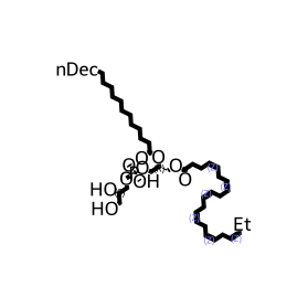 CC/C=C\C/C=C\C/C=C\C/C=C\C/C=C\C/C=C\CCC(=O)OC[C@H](COP(=O)(O)OC[C@@H](O)CO)OC(=O)CCCCCCCCCCCCCCCCCCCCC